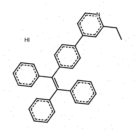 CCc1cc(-c2ccc(C(=C(c3ccccc3)c3ccccc3)c3ccccc3)cc2)ccn1.I